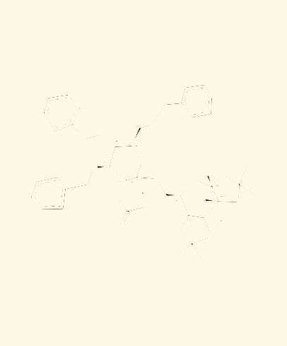 CC1(C)O[C@H]2[C@@H](O1)[C@@H](CO[C@]1(O)O[C@H](COCc3ccccc3)[C@@H](OCc3ccccc3)[C@H](OCc3ccccc3)[C@H]1OC(=O)C(C)(C)C)O[C@@H]1OC(C)(C)O[C@@H]12